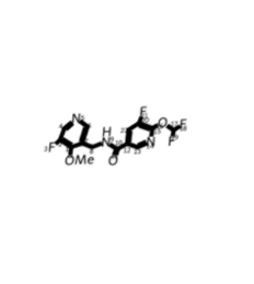 COc1c(F)cncc1CNC(=O)c1cnc(OC(F)F)c(F)c1